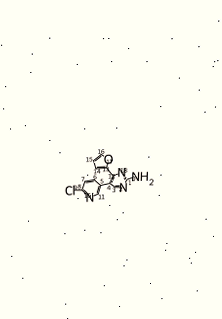 Nc1ncc(-c2ccc(Cl)nc2)c(-c2ccco2)n1